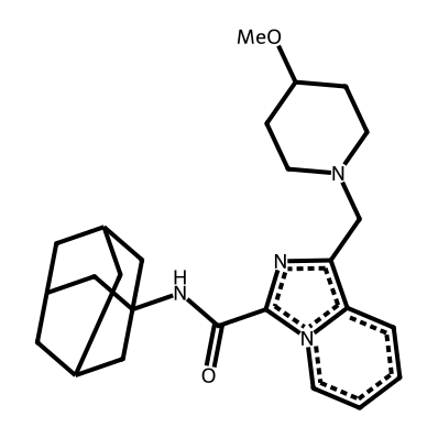 COC1CCN(Cc2nc(C(=O)NC34CC5CC(CC(C5)C3)C4)n3ccccc23)CC1